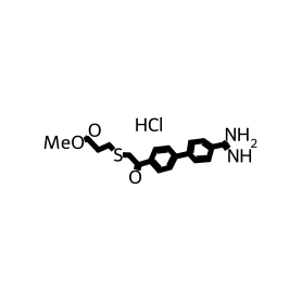 COC(=O)CCSCC(=O)c1ccc(-c2ccc(C(=N)N)cc2)cc1.Cl